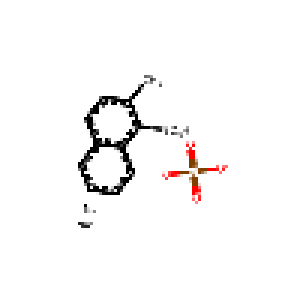 Cc1ccc2ccccc2c1S(=O)(=O)O.O=S(=O)([O-])[O-].[Na+].[Na+]